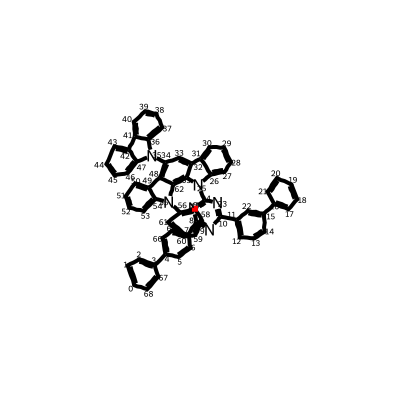 c1ccc(-c2ccc(-c3nc(-c4cccc(-c5ccccc5)c4)nc(-n4c5ccccc5c5cc(-n6c7ccccc7c7ccccc76)c6c7ccccc7n(-c7ccccc7)c6c54)n3)cc2)cc1